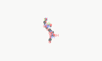 COc1ccc(CNC(=O)[C@@H]2C[C@@H](O)CN2C(=O)[C@H](C(C)C)N2Cc3ccc(O[C@@H]4C[C@@H](C(=O)NCc5ccc(-c6scnc6C)cc5)N(C(=O)C(NC(C)=O)C(F)(F)F)C4)cc3C2=O)cc1